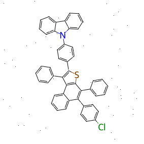 Clc1ccc(-c2c(-c3ccccc3)c3sc(-c4ccc(-n5c6ccccc6c6ccccc65)cc4)c(-c4ccccc4)c3c3ccccc23)cc1